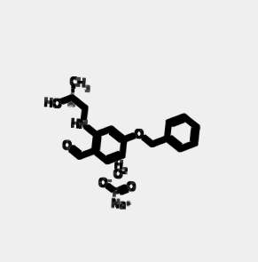 C[C@@H](O)CNc1cc(OCc2ccccc2)ccc1C=O.O.O=P[O-].[Na+]